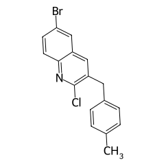 Cc1ccc(Cc2cc3cc(Br)ccc3nc2Cl)cc1